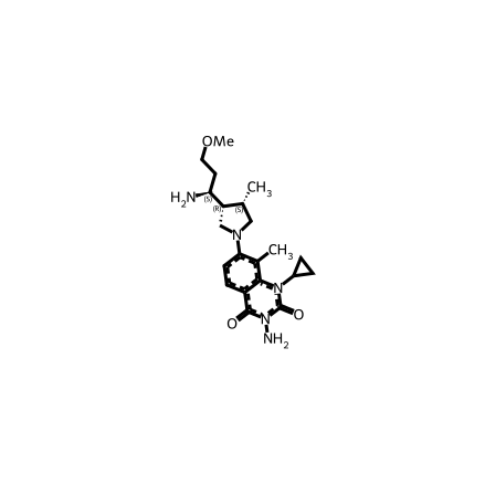 COCC[C@H](N)[C@H]1CN(c2ccc3c(=O)n(N)c(=O)n(C4CC4)c3c2C)C[C@H]1C